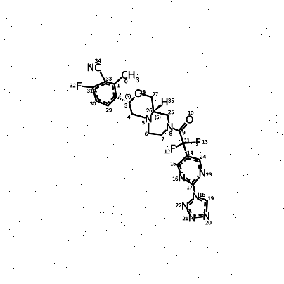 Cc1c([C@H]2CN3CCN(C(=O)C(F)(F)c4cnc(-n5cnnn5)nc4)C[C@H]3CO2)ccc(F)c1C#N